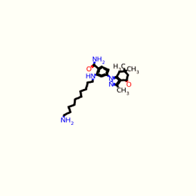 Cc1nn(-c2ccc(C(N)=O)c(NCCCCCCCCCCN)c2)c2c1C(=O)CC(C)(C)C2